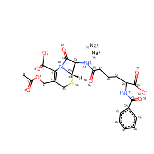 CC(=O)OCC1=C(C(=O)[O-])N2C(=O)C(NC(=O)CCCC(NC(=O)c3ccccc3)C(=O)[O-])[C@@H]2SC1.[Na+].[Na+]